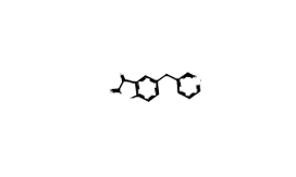 O=C1Oc2ccc(Cc3cccnc3)cc2C1=O